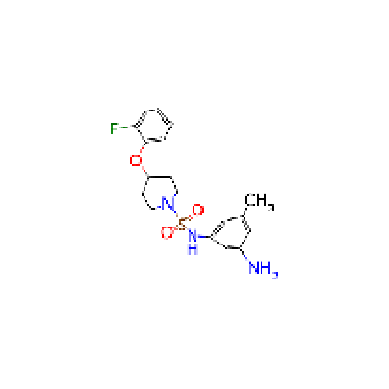 Cc1cc(N)cc(NS(=O)(=O)N2CCC(Oc3ccccc3F)CC2)c1